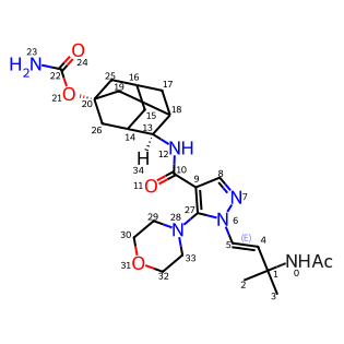 CC(=O)NC(C)(C)/C=C/n1ncc(C(=O)N[C@H]2C3CC4CC2C[C@](OC(N)=O)(C4)C3)c1N1CCOCC1